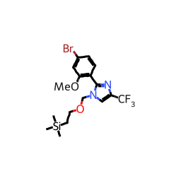 COc1cc(Br)ccc1-c1nc(C(F)(F)F)cn1COCC[Si](C)(C)C